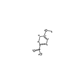 COC1=CC=C(C(=O)Cl)CC1